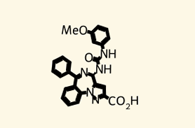 COc1cccc(NC(=O)N[C@@H]2N=C(c3ccccc3)c3ccccc3-n3nc(C(=O)O)cc32)c1